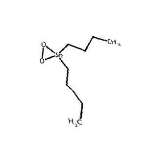 CCC[CH2][Sn]1([CH2]CCC)[O][O]1